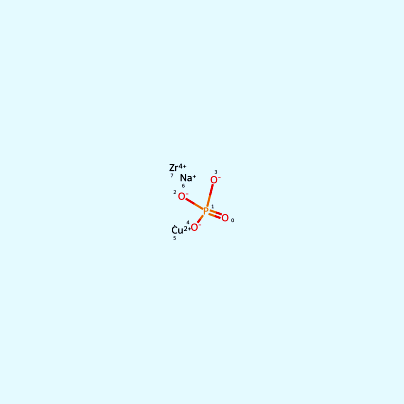 O=P([O-])([O-])[O-].[Cu+2].[Na+].[Zr+4]